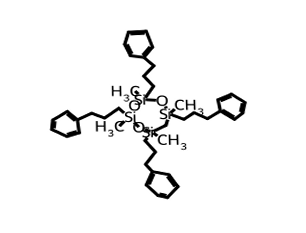 C[Si]1(CCCc2ccccc2)C[Si](C)(CCCc2ccccc2)O[Si](C)(CCCc2ccccc2)O[Si](C)(CCCc2ccccc2)O1